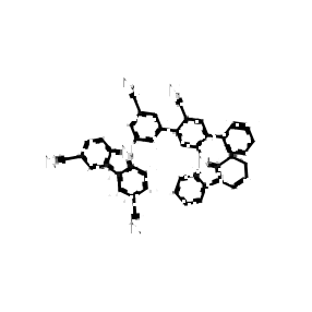 N#Cc1cc(-c2cc(-n3c4c(c5ccccc53)C=CCC4)c(-c3c#cccc3)cc2C#N)cc(-n2c3ccc(C#N)cc3c3cc(C#N)ccc32)c1